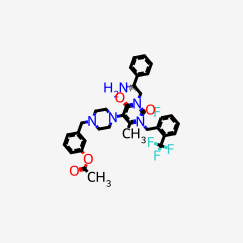 CC(=O)Oc1cccc(CN2CCN(c3c(C)n(Cc4c(F)cccc4C(F)(F)F)c(=O)n(C[C@H](N)c4ccccc4)c3=O)CC2)c1